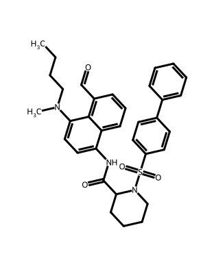 CCCCN(C)c1ccc(NC(=O)C2CCCCN2S(=O)(=O)c2ccc(-c3ccccc3)cc2)c2cccc(C=O)c12